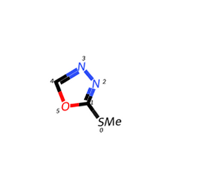 CSc1nnco1